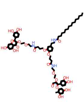 CCCCCCCCCCCCCCCC(=O)NCCc1ccc(OCCCC(=O)NCCOCCO/C(C=O)=C(/Oc2cc(O)cc(O)c2C)c2ccc(O)c(O)c2)c(OCCCC(=O)NCCOCCOc2c(-c3ccc(O)c(O)c3)oc3cc(O)cc(O)c3c2=O)c1